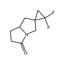 O=C1CCC2CC3(CN12)CC3(F)F